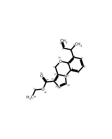 C=CC(C)c1cccc2c1OCc1c(C(=O)OCC)ncn1-2